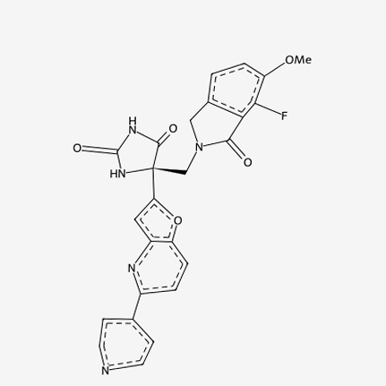 COc1ccc2c(c1F)C(=O)N(C[C@@]1(c3cc4nc(-c5ccncc5)ccc4o3)NC(=O)NC1=O)C2